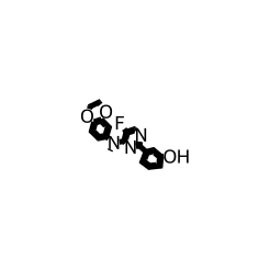 CN(c1ccc2c(c1)OCCO2)c1nc(-c2cccc(O)c2)ncc1F